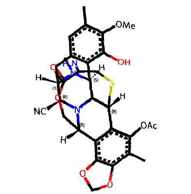 COc1c(C)cc2c(c1O)[C@H]1C3[C@@H]4SCC(N)C(=O)OC[C@@H](c5c6c(c(C)c(OC(C)=O)c54)OCO6)N3[C@@H](C#N)[C@H](C2)N1C